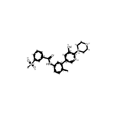 Cc1ccc(NC(=O)c2cccc(S(C)(=O)=O)c2)cc1-c1cnc(N2CCOCC2)c(C#N)c1